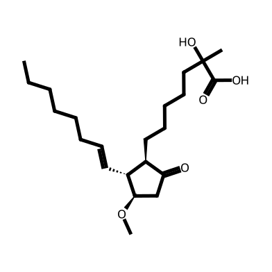 CCCCCCC=C[C@H]1[C@H](OC)CC(=O)[C@@H]1CCCCCC(C)(O)C(=O)O